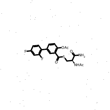 CC(=O)N[C@@H](CSC(=O)c1cc(-c2ccc(F)cc2F)ccc1OC(C)=O)C(N)=O